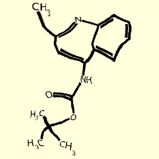 CCc1cc(NC(=O)OC(C)(C)C)c2ccccc2n1